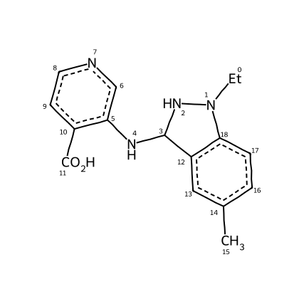 CCN1NC(Nc2cnccc2C(=O)O)c2cc(C)ccc21